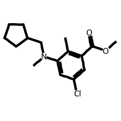 COC(=O)c1cc(Cl)cc(N(C)CC2CCCC2)c1C